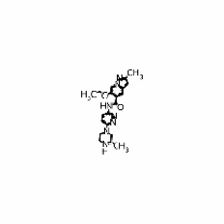 CCOc1cn2nc(C)cc2cc1C(=O)Nc1ccc(N2CCN[C@@H](C)C2)nn1